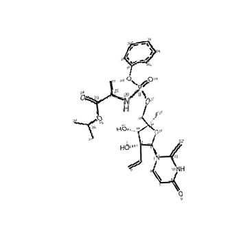 C=C[C@]1(O)[C@H](N2C=CC(=O)NC2=C)O[C@](F)(COP(=O)(NC(C)C(=O)OC(C)C)Oc2ccccc2)[C@H]1O